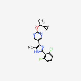 CC(Oc1ncc(-c2nc(-c3c(F)cccc3Cl)[nH]c2C#N)cn1)C1CC1